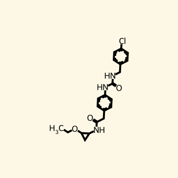 CCOC1CC1NC(=O)Cc1ccc(NC(=O)NCc2ccc(Cl)cc2)cc1